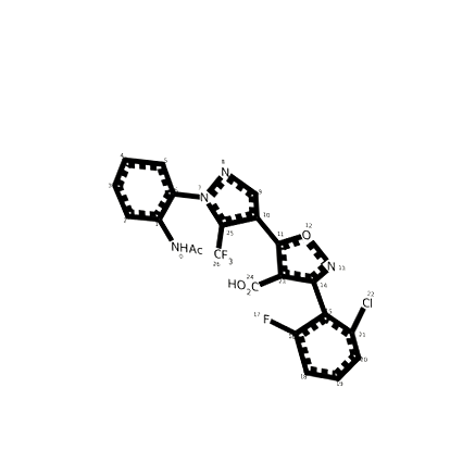 CC(=O)Nc1ccccc1-n1ncc(-c2onc(-c3c(F)cccc3Cl)c2C(=O)O)c1C(F)(F)F